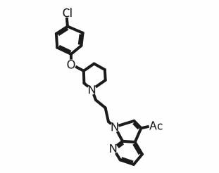 CC(=O)c1cn(CCCN2CCCC(Oc3ccc(Cl)cc3)C2)c2ncccc12